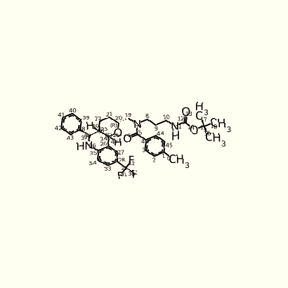 Cc1ccc(C(=O)N(CCCNC(=O)OC(C)(C)C)C[C@H]2CC[C@@H]3[C@H](O2)c2cc(C(F)(F)F)ccc2N[C@H]3c2ccccc2)cc1